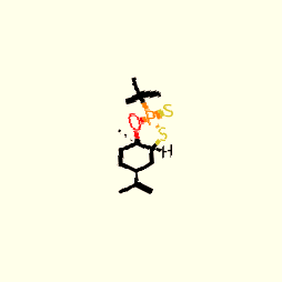 C=C(C)[C@H]1CC[C@@]2(C)OP(=S)(C(C)(C)C)S[C@@H]2C1